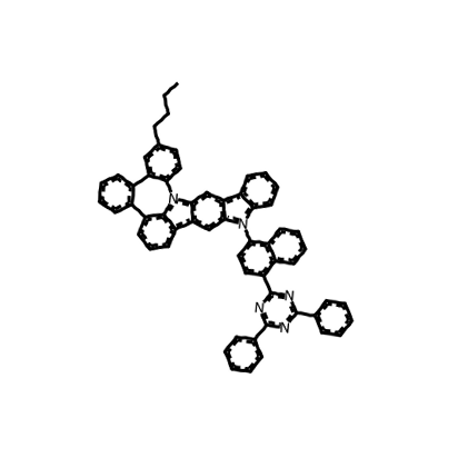 CCCCc1ccc2c(c1)-c1ccccc1-c1cccc3c4cc5c(cc4n-2c13)c1ccccc1n5-c1ccc(-c2nc(-c3ccccc3)nc(-c3ccccc3)n2)c2ccccc12